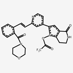 O=C1NCCc2c1cc(-c1ccnc(C=Cc3ccccc3C(=O)N3CCOCC3)c1)n2OC(=O)C(F)(F)F